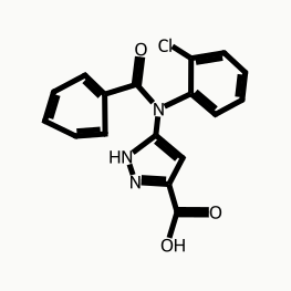 O=C(O)c1cc(N(C(=O)c2ccccc2)c2ccccc2Cl)[nH]n1